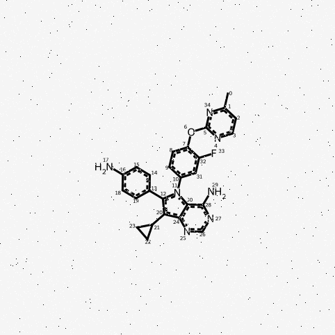 Cc1ccnc(Oc2ccc(-n3c(-c4ccc(N)cc4)c(C4CC4)c4ncnc(N)c43)cc2F)n1